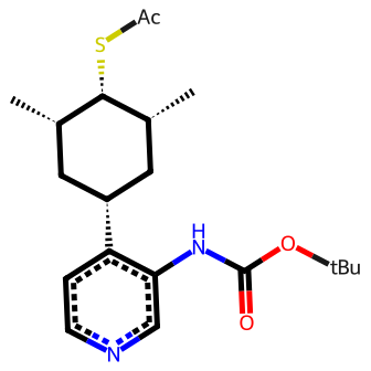 CC(=O)S[C@@H]1[C@H](C)C[C@H](c2ccncc2NC(=O)OC(C)(C)C)C[C@@H]1C